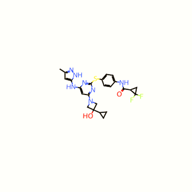 Cc1cc(Nc2cc(N3CC(O)(C4CC4)C3)nc(Sc3ccc(NC(=O)C4CC4(F)F)cc3)n2)[nH]n1